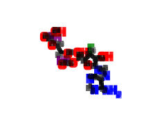 Nc1ncnc2c1ncn2[C@@H]1O[C@H](C(O)O[PH](=O)OCCO[PH](=O)O)[C@@H](F)[C@H]1O